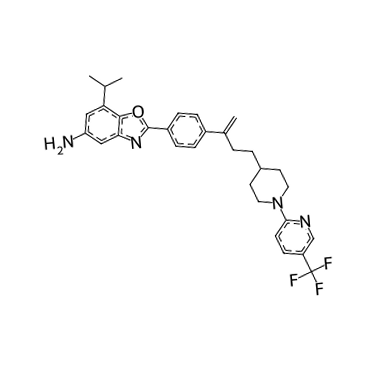 C=C(CCC1CCN(c2ccc(C(F)(F)F)cn2)CC1)c1ccc(-c2nc3cc(N)cc(C(C)C)c3o2)cc1